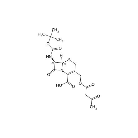 CC(=O)CC(=O)OCC1=C(C(=O)O)N2C(=O)[C@@H](NC(=O)OC(C)(C)C)[C@H]2SC1